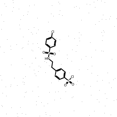 O=S(=O)(Cl)c1ccc(CCNS(=O)(=O)c2ccc(Cl)cc2)cc1